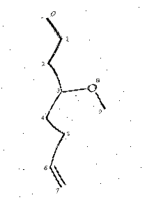 [CH2]CCC(CCC=C)OC